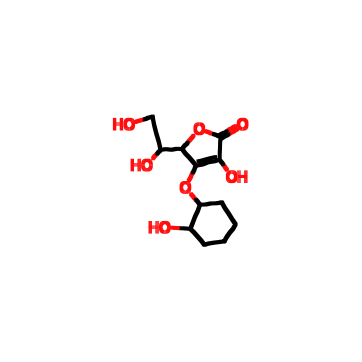 O=C1OC(C(O)CO)C(OC2CCCCC2O)=C1O